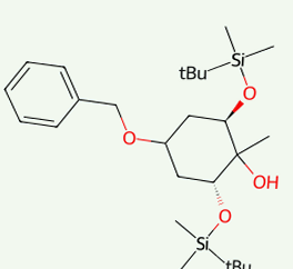 CC1(O)[C@H](O[Si](C)(C)C(C)(C)C)CC(OCc2ccccc2)C[C@H]1O[Si](C)(C)C(C)(C)C